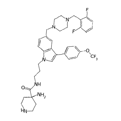 NC1(C(=O)NCCCn2cc(-c3ccc(OC(F)(F)F)cc3)c3cc(CN4CCN(Cc5c(F)cccc5F)CC4)ccc32)CCNCC1